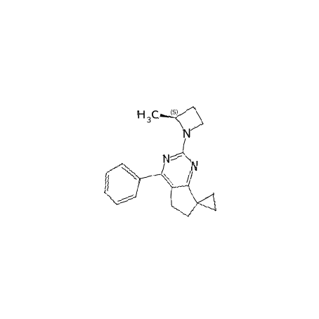 C[C@H]1CCN1c1nc(-c2ccccc2)c2c(n1)C1(CC2)CC1